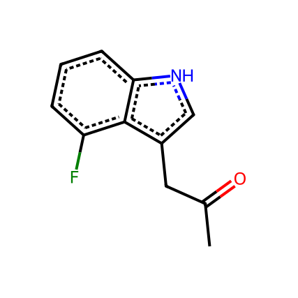 CC(=O)Cc1c[nH]c2cccc(F)c12